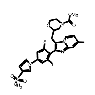 COC(=O)N1CCOC(Cc2c(-c3c(F)cc(-n4ccc(S(N)(=O)=O)c4)cc3F)nc3cc(C)ccn23)C1